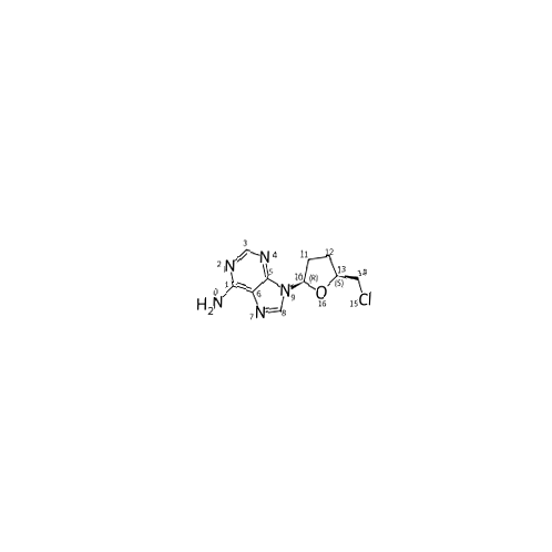 Nc1ncnc2c1ncn2[C@H]1CC[C@@H](CCl)O1